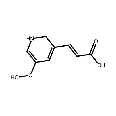 O=C(O)/C=C/C1=CC(OO)=CNC1